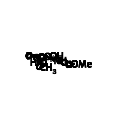 COc1ccc2c(c1)CCC(CNC[C@@H](O)COc1ccc(OCc3ccccc3)c(NS(C)(=O)=O)c1)C2